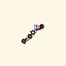 OC(CNC1CCC(c2ccc(OCc3ccccc3)cc2)CC1)Cc1ccccc1